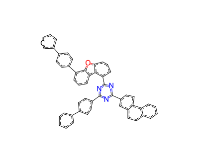 c1ccc(-c2ccc(-c3nc(-c4ccc5c(ccc6ccccc65)c4)nc(-c4cccc5oc6c(-c7ccc(-c8ccccc8)cc7)cccc6c45)n3)cc2)cc1